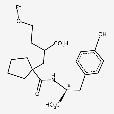 CCOCCC(CC1(C(=O)N[C@@H](Cc2ccc(O)cc2)C(=O)O)CCCC1)C(=O)O